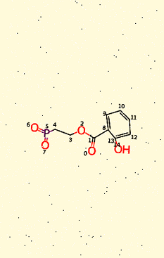 O=C(OCCP(=O)=O)c1ccccc1O